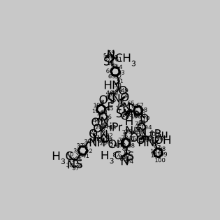 CSC[C@@H](C(=O)N1C[C@H](Oc2ccc3c(c2F)CN([C@H](C(=O)N2C[C@H](O)C[C@H]2C(=O)NCc2ccc(-c4scnc4C)cc2)C(C)C)C3=O)C[C@H]1C(=O)NCc1ccc(-c2scnc2C)cc1)N1Cc2ccc(O[C@@H]3C[C@@H](C(=O)NCc4ccc(-c5scnc5C)cc4)N(C(=O)[C@@H](NC(O)c4ccccc4)C(C)(C)C)C3)cc2C1=O